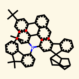 CC(C)(C)c1cc(-c2cccc3cccc(-c4ccccc4N(c4ccc5c(c4)C4(c6ccccc6-5)C5CC6CC(C5)C4C6)c4cccc5c4-c4ccccc4C5(C)C)c23)cc(C(C)(C)C)c1